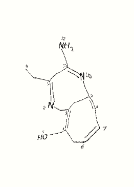 Cc1nc2c(O)cccc2nc1N